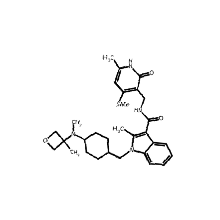 CSc1cc(C)[nH]c(=O)c1CNC(=O)c1c(C)n(CC2CCC(N(C)C3(C)COC3)CC2)c2ccccc12